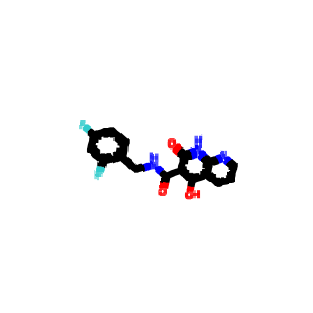 O=C(NCc1ccc(F)cc1F)c1c(O)c2cccnc2[nH]c1=O